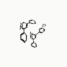 C=O.c1ccc(-c2cnnc(-c3ccccc3)c2)cc1.c1ccc(-c2cnnc(-c3ccccc3)c2)cc1